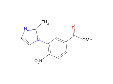 COC(=O)c1ccc([N+](=O)[O-])c(-n2ccnc2C)c1